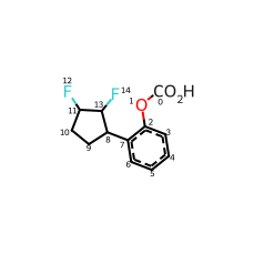 O=C(O)Oc1ccccc1C1CCC(F)C1F